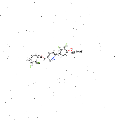 CCCCCCCOc1ccc(-c2ccc(COc3ccc(C)c(F)c3F)cn2)c(F)c1F